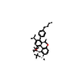 CCCCc1ccc(-c2c(C(C)C)cc(C(C)C)c(-c3c(C)ccc(OC)c3P(C(C)(C)C)C(C)(C)C)c2C(C)C)cc1